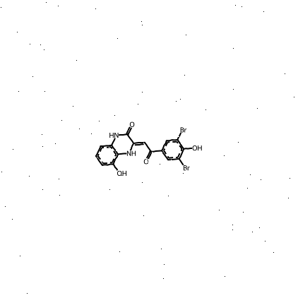 O=C1Nc2cccc(O)c2NC1=CC(=O)c1cc(Br)c(O)c(Br)c1